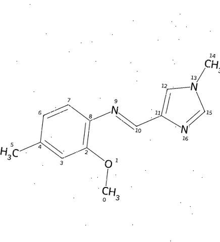 COc1cc(C)ccc1N=Cc1cn(C)cn1